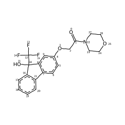 O=C(COc1ccc2c(c1)C(O)(C(F)(F)F)c1ccccc1-2)N1CCOCC1